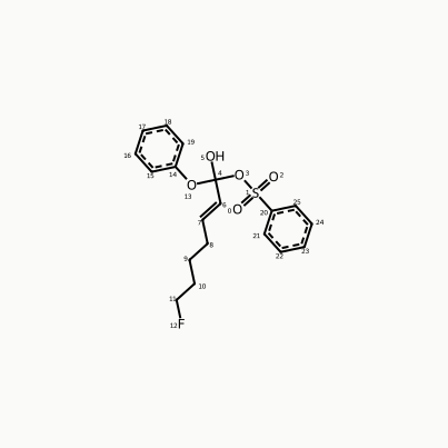 O=S(=O)(OC(O)(C=CCCCCF)Oc1ccccc1)c1ccccc1